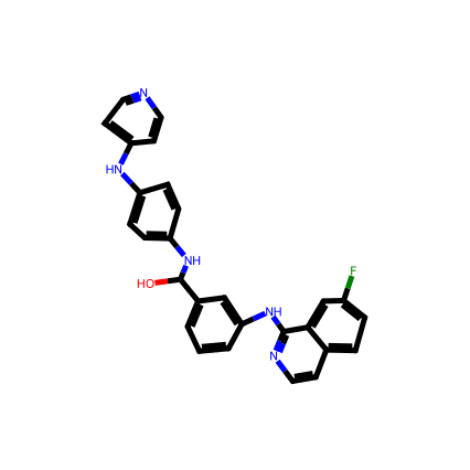 OC(Nc1ccc(Nc2ccncc2)cc1)c1cccc(Nc2nccc3ccc(F)cc23)c1